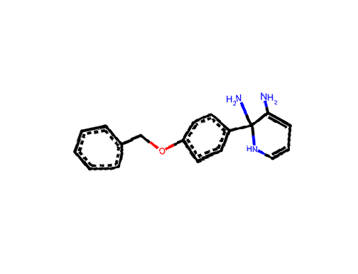 NC1=CC=CNC1(N)c1ccc(OCc2ccccc2)cc1